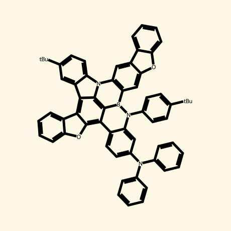 CC(C)(C)c1ccc(N2B3c4cc5oc6ccccc6c5cc4-n4c5ccc(C(C)(C)C)cc5c5c6c(oc7ccccc76)c(c3c54)-c3ccc(N(c4ccccc4)c4ccccc4)cc32)cc1